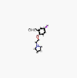 O=Cc1cc(I)ccc1OCCN1CCCC1